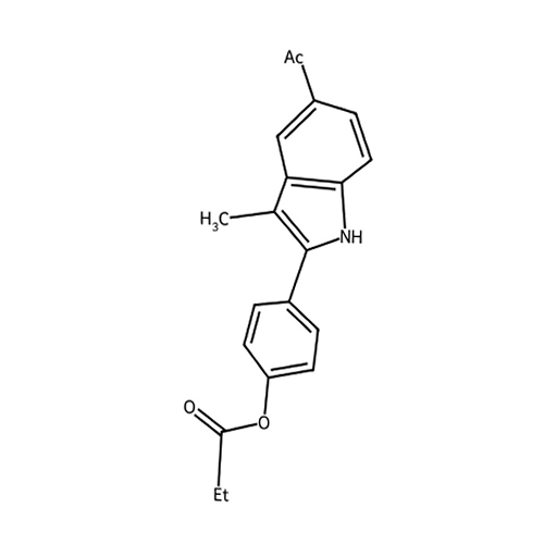 CCC(=O)Oc1ccc(-c2[nH]c3ccc(C(C)=O)cc3c2C)cc1